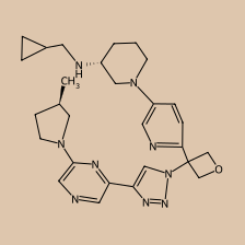 C[C@@H]1CCN(c2cncc(-c3cn(C4(c5ccc(N6CCC[C@@H](NCC7CC7)C6)cn5)COC4)nn3)n2)C1